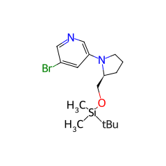 CC(C)(C)[Si](C)(C)OC[C@@H]1CCCN1c1cncc(Br)c1